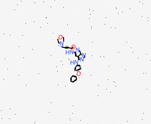 O=C(C#CCN1CCOCC1)Nc1cc2c(Nc3ccc(Oc4ccccc4)cc3)ncnc2cn1